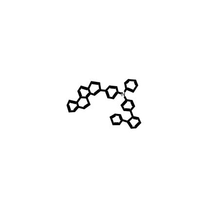 c1ccc(-c2ccccc2-c2ccc(N(c3ccccc3)c3ccc(-c4ccc5ccc6c7ccccc7ccc6c5c4)cc3)cc2)cc1